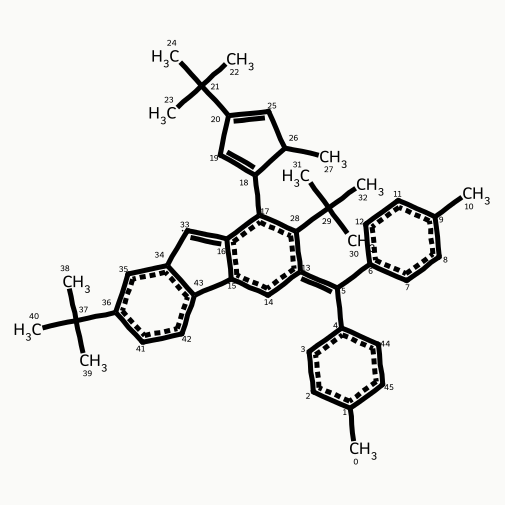 Cc1ccc(C(c2ccc(C)cc2)=c2cc3c(c(C4=CC(C(C)(C)C)=CC4C)c2C(C)(C)C)=[C]c2cc(C(C)(C)C)ccc2-3)cc1